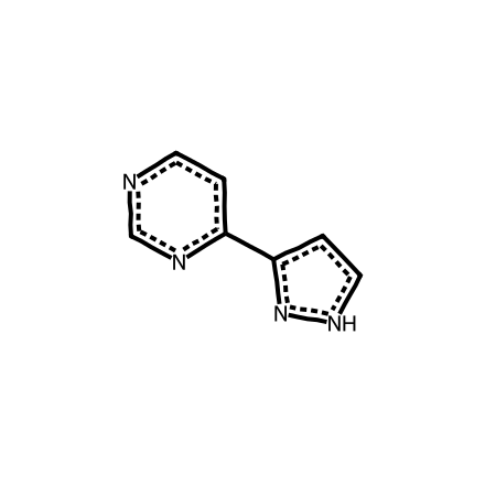 c1cc(-c2cc[nH]n2)ncn1